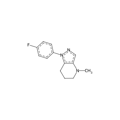 CN1CCCc2c1cnn2-c1ccc(F)cc1